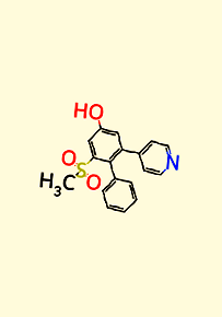 CS(=O)(=O)c1cc(O)cc(-c2ccncc2)c1-c1ccccc1